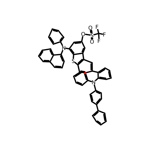 O=S(=O)(Oc1cc(N(c2ccccc2)c2cccc3ccccc23)c2sc3ccc(-c4ccccc4N(c4ccccc4)c4ccc(-c5ccccc5)cc4)cc3c2c1)C(F)(F)F